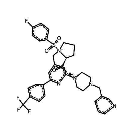 NC(=O)[C@@H]1CCC[N+]1(Cc1cc(-c2ccc(C(F)(F)F)cc2)nc(N2CCN(Cc3cccnc3)CC2)c1)S(=O)(=O)c1ccc(F)cc1